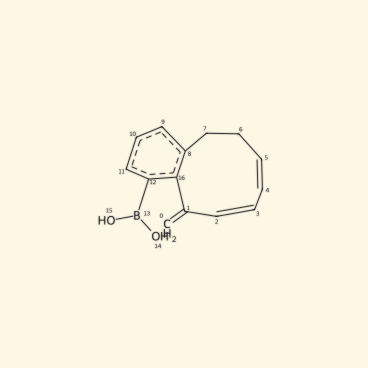 C=C1/C=C\C=C/CCc2cccc(B(O)O)c21